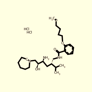 COCCCCOc1ccccc1C(=O)NC[C@@H](C[C@H](N)[C@@H](O)CN1CCCCCC1)C(C)C.Cl.Cl